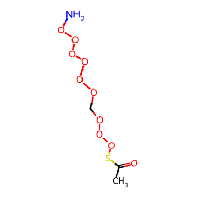 CC(=O)SOOOCOOOOOON